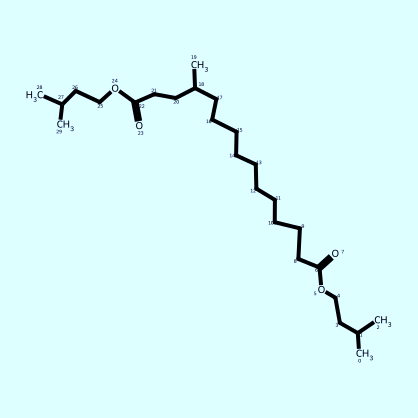 CC(C)CCOC(=O)CCCCCCCCCCC(C)CCC(=O)OCCC(C)C